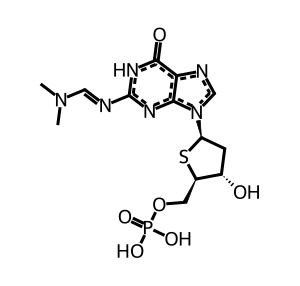 CN(C)/C=N/c1nc2c(ncn2[C@H]2C[C@H](O)[C@@H](COP(=O)(O)O)S2)c(=O)[nH]1